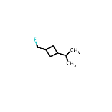 CC(C)C1CC(CF)C1